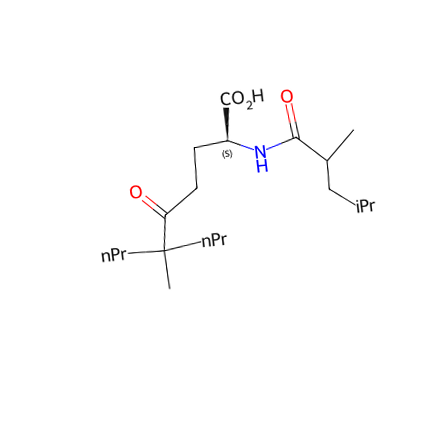 CCCC(C)(CCC)C(=O)CC[C@H](NC(=O)C(C)CC(C)C)C(=O)O